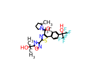 Cc1cc(C(O)(C(F)(F)F)C(F)(F)F)ccc1-c1sc(-c2noc(C(C)(C)O)n2)nc1C(=O)N1CCC[C@@H]1C